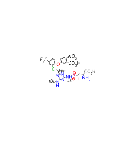 CCNc1nc(NC(C)(C)C)nc(SC)n1.CP(=O)(O)CCC(N)C(=O)O.O=C(O)c1cc(Oc2ccc(C(F)(F)F)cc2Cl)ccc1[N+](=O)[O-]